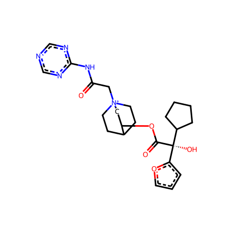 O=C(C[N+]12CCC(CC1)C(OC(=O)[C@](O)(c1ccco1)C1CCCC1)C2)Nc1ncncn1